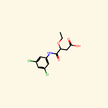 CCOC(CC(=O)O)C(=O)Nc1cc(Cl)cc(Cl)c1